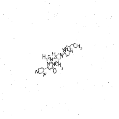 CCc1cn2nc(N3C[C@@H]4[C@H](C3)[C@H]4N(C)c3nc(-c4ccncc4F)cc(=O)n3C)ccc2n1